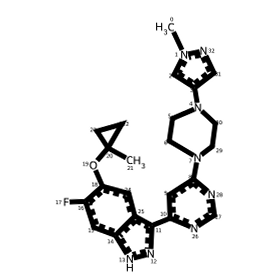 Cn1cc(N2CCN(c3cc(-c4n[nH]c5cc(F)c(OC6(C)CC6)cc45)ncn3)CC2)cn1